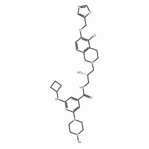 CC(C)N1CCN(c2cc(C(=O)NC[C@H](O)CN3CCc4c(ccc(OCc5cnco5)c4Cl)C3)cc(NC3CCC3)n2)CC1